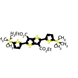 CCOC(=O)c1c(-c2ccc(S(C)(C)C)s2)sc2c(C(=O)OCC)c(-c3ccc(S(C)(C)C)s3)sc12